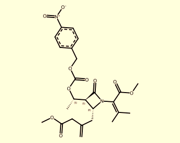 C=C(CC(=O)OC)C[C@@H]1[C@@H]([C@H](C)OC(=O)OCc2ccc([N+](=O)[O-])cc2)C(=O)N1C(C(=O)OC)=C(C)C